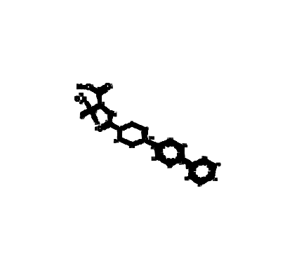 COC(=O)C(NC(=O)N1CCN(c2ccc(-c3ccccc3)cc2)CC1)C(C)(C)[N+](=O)[O-]